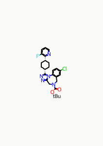 CC(C)(C)OC(=O)N1Cc2cc(Cl)ccc2-n2c(nnc2[C@H]2CC[C@@H](c3ncccc3F)CC2)C1